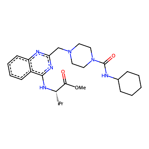 COC(=O)[C@@H](Nc1nc(CN2CCN(C(=O)NC3CCCCC3)CC2)nc2ccccc12)C(C)C